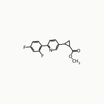 COC(=O)C1CC1c1ccc(-c2ccc(F)cc2F)nc1